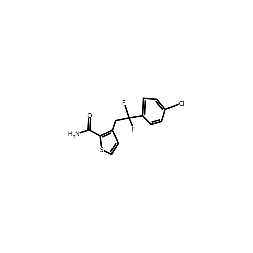 NC(=O)c1sccc1CC(F)(F)c1ccc(Cl)cc1